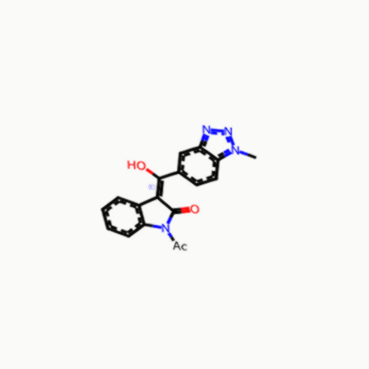 CC(=O)N1C(=O)/C(=C(/O)c2ccc3c(c2)nnn3C)c2ccccc21